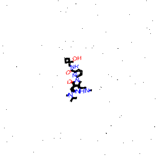 CNCc1nc(N(C)C(C)C)cc2c1CN(c1cccc(C(=O)NCC3(CO)CCC3)n1)C2=O